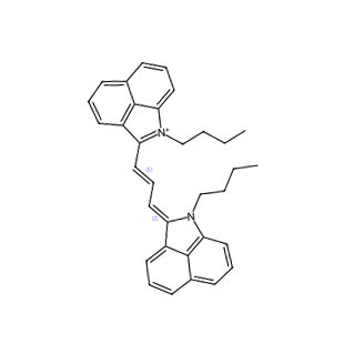 CCCCn1/c(=C\C=C\C2=[N+](CCCC)c3cccc4cccc2c34)c2cccc3cccc1c32